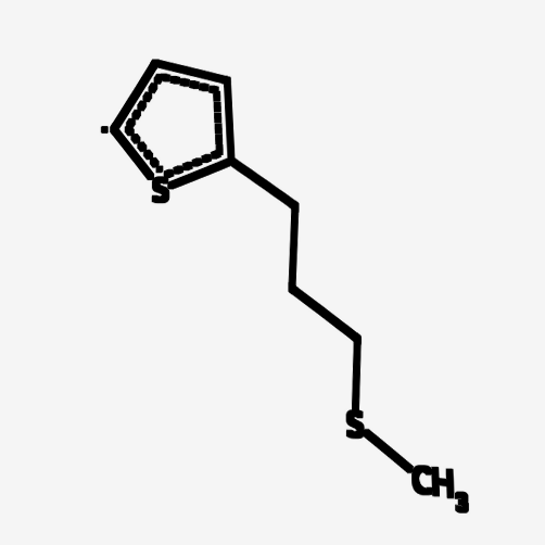 CSCCCc1cc[c]s1